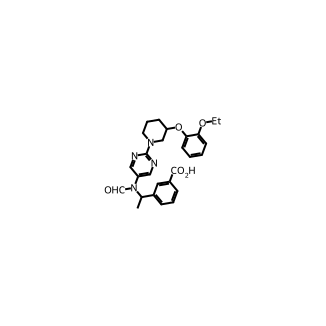 CCOc1ccccc1OC1CCCN(c2ncc(N(C=O)C(C)c3cccc(C(=O)O)c3)cn2)C1